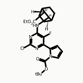 CCOC(=O)[C@@H]1C2CCC(CC2)[C@H]1Nc1nc(Cl)nc(-c2cccn2C(=O)OC(C)(C)C)c1F